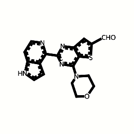 O=Cc1cc2nc(-c3nccc4[nH]ccc34)nc(N3CCOCC3)c2s1